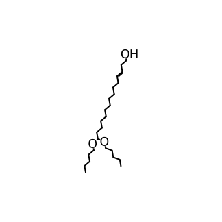 CCCCCOC(CCCCCCCCCC/C=C/CCO)OCCCCC